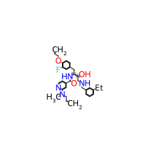 C=CCOc1ccc(C[C@H](NC(=O)c2ccnc(N(C)CC=C)c2)[C@@H](O)CNCc2cccc(CC)c2)cc1F